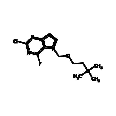 C[Si](C)(C)CCOCn1ccc2nc(Cl)nc(F)c21